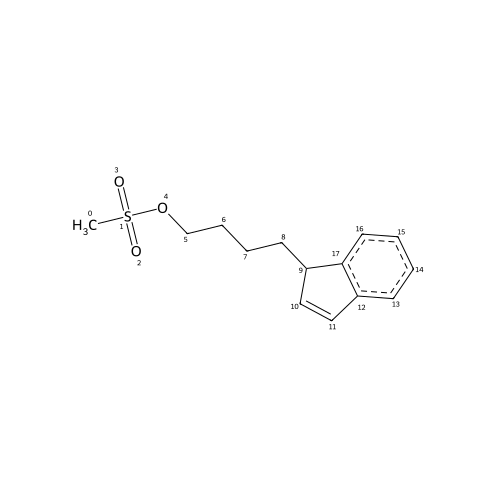 CS(=O)(=O)OCCCCC1C=Cc2ccccc21